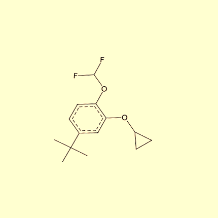 CC(C)(C)c1ccc(OC(F)F)c(OC2CC2)c1